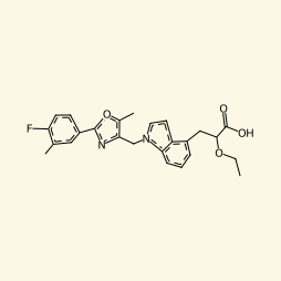 CCOC(Cc1cccc2c1ccn2Cc1nc(-c2ccc(F)c(C)c2)oc1C)C(=O)O